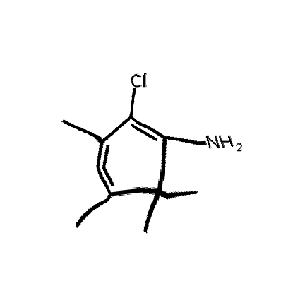 CC1=C(C)C(C)(C)C(N)=C1Cl